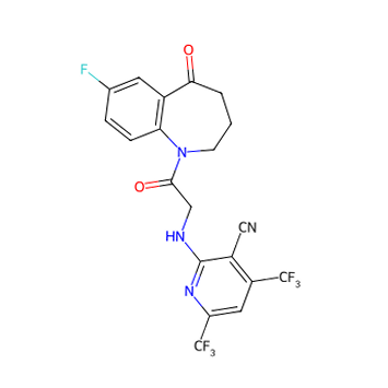 N#Cc1c(C(F)(F)F)cc(C(F)(F)F)nc1NCC(=O)N1CCCC(=O)c2cc(F)ccc21